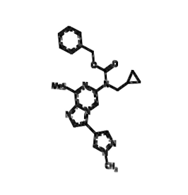 CSc1nc(N(CC2CC2)C(=O)OCc2ccccc2)cn2c(-c3cnn(C)c3)cnc12